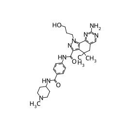 CN1CCC(NC(=O)c2ccc(NC(=O)c3nn(CCCO)c4c3C(C)(C)Cc3cnc(N)nc3-4)cc2)CC1